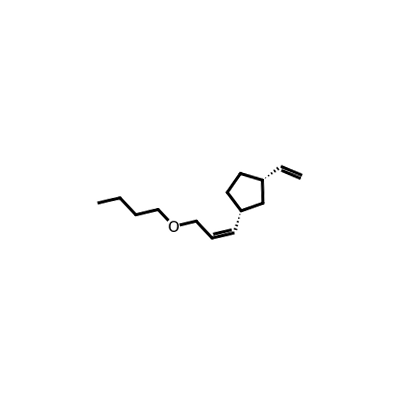 C=C[C@H]1CC[C@@H](/C=C\COCCCC)C1